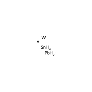 [PbH2].[SnH4].[V].[W]